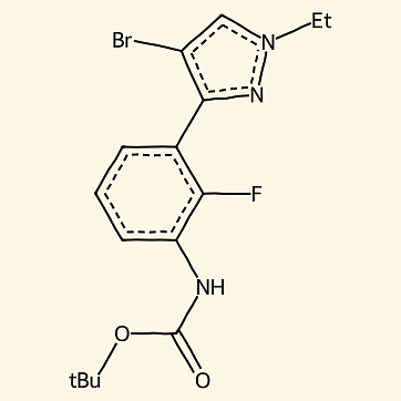 CCn1cc(Br)c(-c2cccc(NC(=O)OC(C)(C)C)c2F)n1